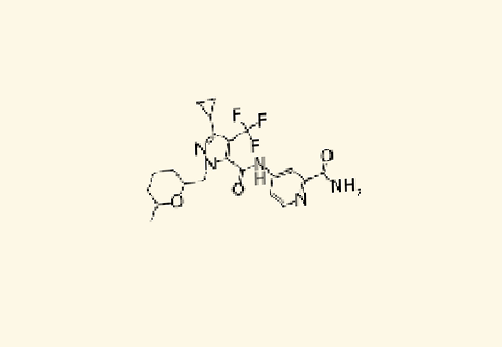 CC1CCCC(Cn2nc(C3CC3)c(C(F)(F)F)c2C(=O)Nc2ccnc(C(N)=O)c2)O1